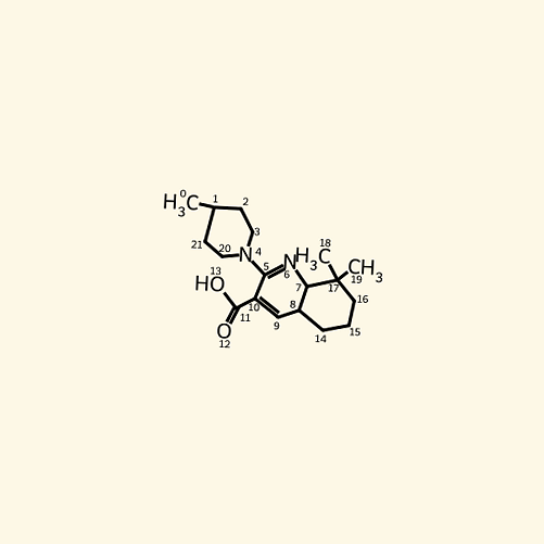 CC1CCN(C2=NC3C(C=C2C(=O)O)CCCC3(C)C)CC1